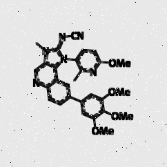 COc1ccc(-n2/c(=N\C#N)n(C)c3cnc4ccc(-c5cc(OC)c(OC)c(OC)c5)cc4c32)c(C)n1